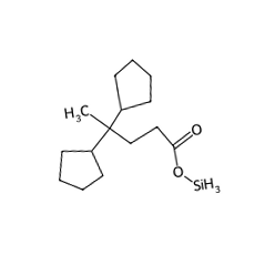 CC(CCC(=O)O[SiH3])(C1CCCC1)C1CCCC1